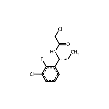 CC[C@@H](NC(=O)CCl)c1cccc(Cl)c1F